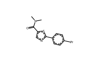 CC(C)c1ccc(-c2ncc(C(=O)N(C)C)s2)cc1